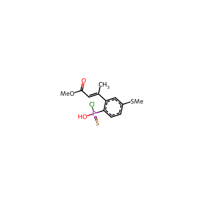 COC(=O)C=C(C)c1cc(SC)ccc1P(O)(=S)Cl